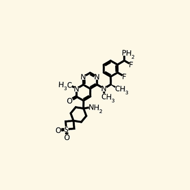 C[C@H](c1cccc(C(F)P)c1F)N(C)c1ncnc2c1cc(C1(N)CCC3(CC1)CS(=O)(=O)C3)c(=O)n2C